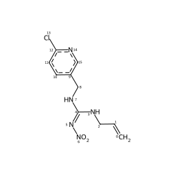 C=CCN/C(=N\[N+](=O)[O-])NCc1ccc(Cl)nc1